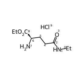 CCNC(=O)CC[C@@H](N)C(=O)OCC.Cl